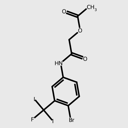 CC(=O)OCC(=O)Nc1ccc(Br)c(C(F)(I)I)c1